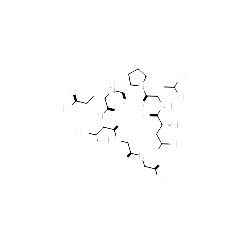 CC(C)C[C@H](NC(=O)[C@@H](N)CC(C)C)C(=O)N1CCC[C@H]1C(=O)N[C@@H](CCC(=O)O)C(=O)N[C@H](C(=O)NCC(=O)NCC(=O)O)[C@@H](C)O